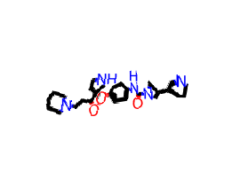 O=C(Nc1ccc(O[C@]2(C(=O)CCN3CCCCC3)CCNC2)cc1)N1CC(c2cccnc2)C1